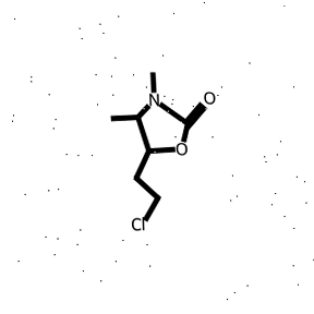 CC1C(CCCl)OC(=O)N1C